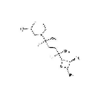 C[C@H]1C(N)CN1C(C)(C)CCC(C)(C)N1CCC[C@@H](N)C1